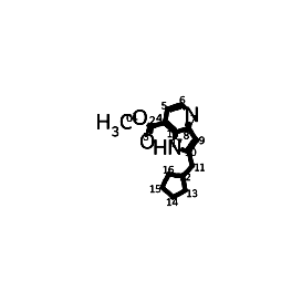 COC(=O)c1ccnc2cc(CC3CCCC3)[nH]c12